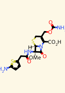 CO[C@@]1(NC(=O)Cc2ccc(N)s2)C(=O)N2C(C(=O)O)=C(COC(N)=O)CS[C@@H]21